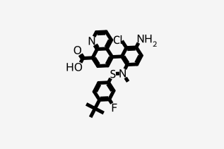 CN(Sc1ccc(C(C)(C)C)c(F)c1)c1ccc(N)c(Cl)c1-c1ccc(C(=O)O)c2ncccc12